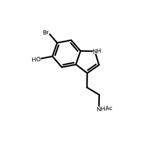 CC(=O)NCCc1c[nH]c2cc(Br)c(O)cc12